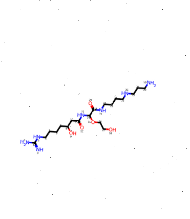 N=C(N)NCCCCC(O)CC(=O)NC(OCCO)C(=O)NCCCCNCCCN